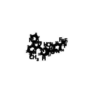 Cc1ccc(-c2ncccn2)c(C(=O)N2C[C@@H]3CC[C@H]2[C@H](Oc2ncc(C(F)(F)F)cc2Cl)C3)n1